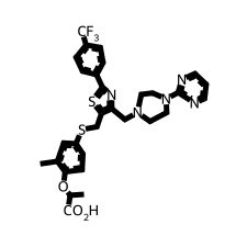 Cc1cc(SCc2sc(-c3ccc(C(F)(F)F)cc3)nc2CN2CCN(c3ncccn3)CC2)ccc1OC(C)C(=O)O